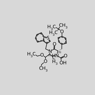 CCOC(OCC)[C@H](C)N(Cc1csc2ccccc12)C(=O)[C@H](Cc1ccc(OC(C)(C)C)cc1)NC(=O)O